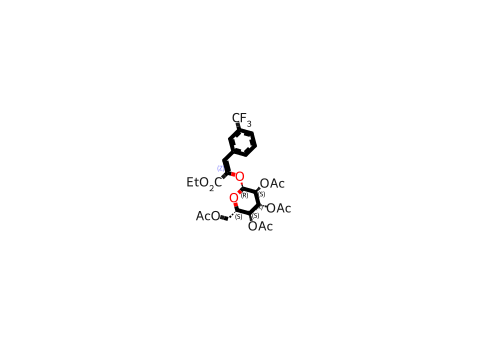 CCOC(=O)/C(=C/c1cccc(C(F)(F)F)c1)O[C@H]1O[C@@H](COC(C)=O)[C@H](OC(C)=O)[C@@H](OC(C)=O)[C@@H]1OC(C)=O